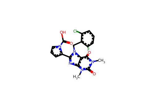 Cn1c(=O)c2c(nc(-c3cccn3C(=O)O)n2Cc2c(F)cccc2Cl)n(C)c1=O